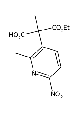 CCOC(=O)C(C)(C(=O)O)c1ccc([N+](=O)[O-])nc1C